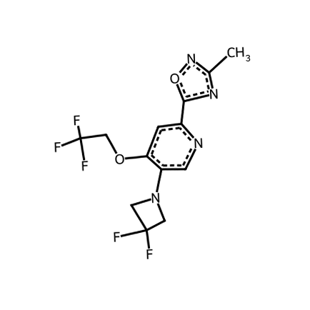 Cc1noc(-c2cc(OCC(F)(F)F)c(N3CC(F)(F)C3)cn2)n1